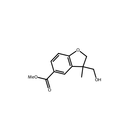 COC(=O)c1ccc2c(c1)C(C)(CO)CO2